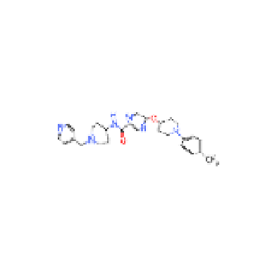 O=C(NC1CCN(Cc2ccncc2)CC1)c1cnc(OC2CCN(c3ccc(C(F)(F)F)cc3)CC2)cn1